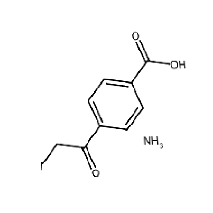 N.O=C(O)c1ccc(C(=O)CI)cc1